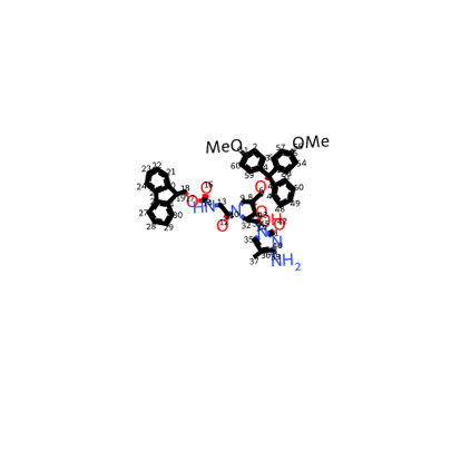 COc1ccc(C(OCC23CN(C(=O)CNC(=O)OCC4c5ccccc5-c5ccccc54)C(C(n4cc(C)c(N)nc4=O)O2)C3O)(c2ccccc2)c2ccc(OC)cc2)cc1